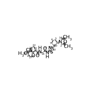 C[C@@H]1CN(c2cccc(-c3csc(NC(=O)CNC(=O)c4cccc5c4OCC[C@]5(C)C#N)n3)c2)C[C@H](C)O1